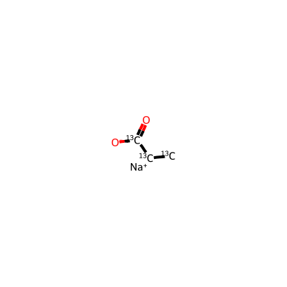 [13CH3][13CH2][13C](=O)[O-].[Na+]